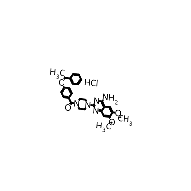 COc1cc2nc(N3CCN(C(=O)c4ccc(OC(C)c5ccccc5)cc4)CC3)nc(N)c2cc1OC.Cl